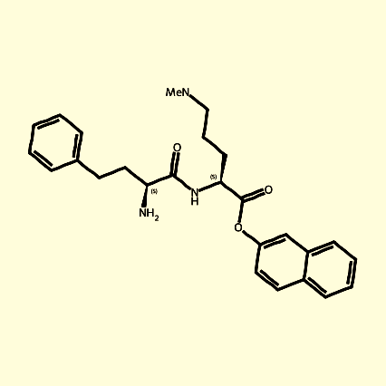 CNCCC[C@H](NC(=O)[C@@H](N)CCc1ccccc1)C(=O)Oc1ccc2ccccc2c1